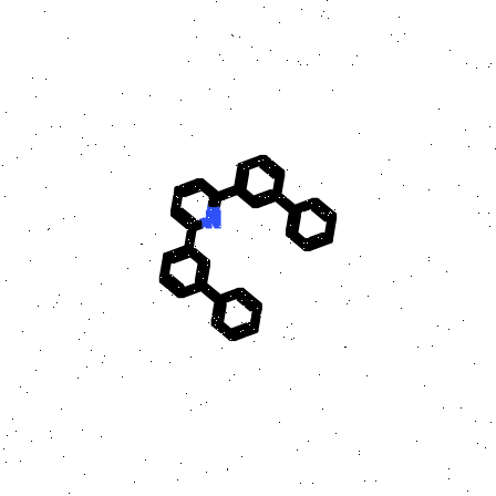 c1ccc(-c2cccc(-c3cccc(-c4cccc(-c5ccccc5)c4)n3)c2)cc1